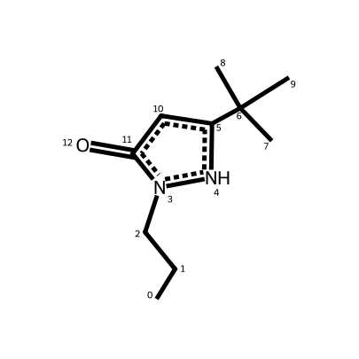 CCCn1[nH]c(C(C)(C)C)cc1=O